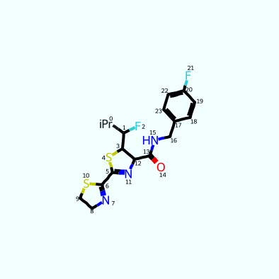 CC(C)C(F)C1SC(C2=NCCS2)=NC1C(=O)NCc1ccc(F)cc1